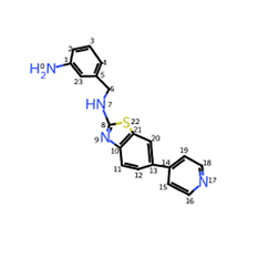 Nc1cccc(CNc2nc3ccc(-c4ccncc4)cc3s2)c1